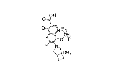 COc1c(N2CC3CCC3(N)C2)c(F)cc2c(=O)c(C(=O)O)cn([C@@H]3C[C@@H]3F)c12